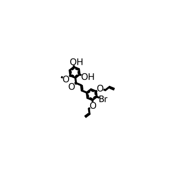 C=CCOc1cc(C=CC(=O)c2c(O)cc(O)cc2OC)cc(OCC=C)c1Br